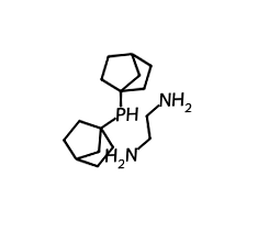 C1CC2(PC34CCC(CC3)C4)CCC1C2.NCCN